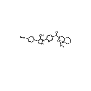 CN(CC1CCCCN1C)C(=O)c1ccc(-n2ncc(-c3ccc(C#N)cc3)c2O)nc1